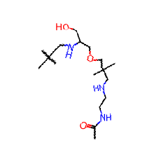 CC(=O)NCCNCC(C)(C)COCC(CO)NCC(C)(C)C